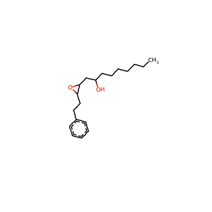 CCCCCCCC(O)CC1OC1CCc1ccccc1